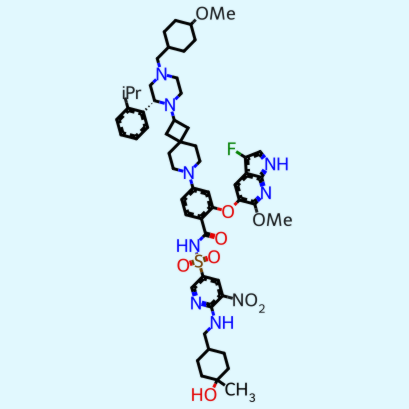 COc1nc2[nH]cc(F)c2cc1Oc1cc(N2CCC3(CC2)CC(N2CCN(CC4CCC(OC)CC4)C[C@H]2c2ccccc2C(C)C)C3)ccc1C(=O)NS(=O)(=O)c1cnc(NCC2CCC(C)(O)CC2)c([N+](=O)[O-])c1